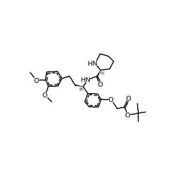 COc1ccc(CC[C@@H](NC(=O)[C@@H]2CCCCN2)c2cccc(OCC(=O)OC(C)(C)C)c2)cc1OC